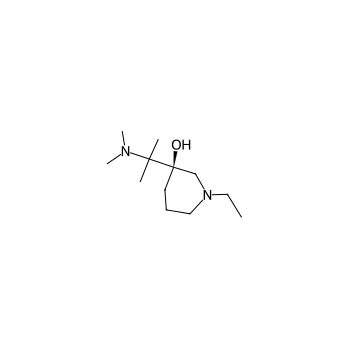 CCN1CCC[C@](O)(C(C)(C)N(C)C)C1